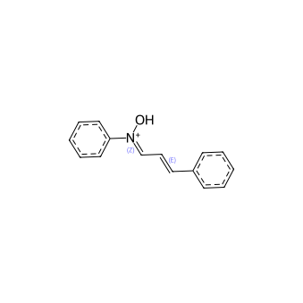 O/[N+](=C\C=C\c1ccccc1)c1ccccc1